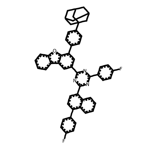 Fc1ccc(-c2nc(-c3cc(-c4ccc(C56CC7CC(CC(C7)C5)C6)cc4)c4oc5ccccc5c4c3)nc(-c3ccc(-c4ccc(F)cc4)c4ccccc34)n2)cc1